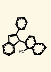 N#Cc1c(C2C(c3ccccc3)=Cc3ccccc32)ccc2ccccc12